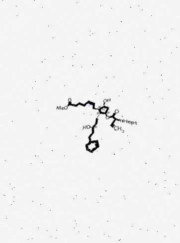 C=CC(CCCCCCC)C(=O)O[C@@H]1C[C@H](O)[C@H](C/C=C\CCCC(=O)OC)[C@H]1CC[C@@H](O)CCc1ccccc1